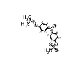 CN(C)N=Nc1ccc([S+]([O-])c2ccc(OS(N)(=O)=O)cc2)cc1